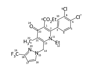 CCOC(=O)c1c(-c2ccc(Cl)c(Cl)c2)n(CC)c(Cn2ccc(C(F)(F)F)n2)c(C)c1=O